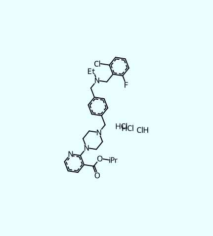 CCN(Cc1ccc(CN2CCN(c3ncccc3C(=O)OC(C)C)CC2)cc1)Cc1c(F)cccc1Cl.Cl.Cl.Cl